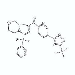 O=C(NC[C@H]1COCCN1C(=O)C(F)(F)c1ccccc1)c1ccc(-c2noc(C(F)(F)F)n2)cn1